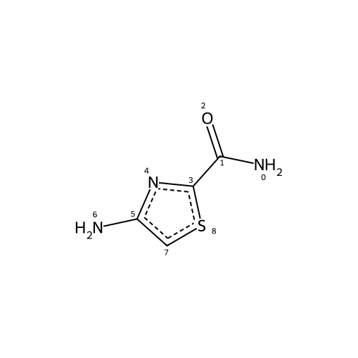 NC(=O)c1nc(N)cs1